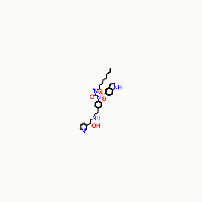 CCCCCCCCN(C)C(=O)N(c1ccc(CCNCC(O)c2cccnc2)cc1)S(=O)(=O)c1ccc2c(c1)CCN2